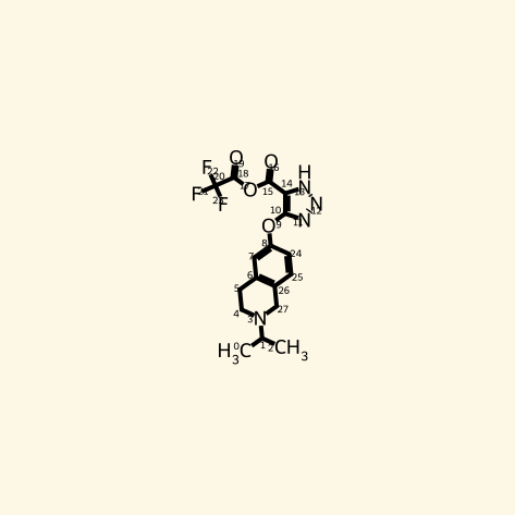 CC(C)N1CCc2cc(Oc3nn[nH]c3C(=O)OC(=O)C(F)(F)F)ccc2C1